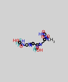 Cn1c(=O)n([C@@H]2CCC(=O)NC2=O)c2ccc(CCCN3Cc4cc(-c5ccc6cn(C7CCC(CNC(=O)c8cc(F)c(O)c(F)c8F)CC7)nc6c5)cnc4C3)cc21.O=C(O)C(F)(F)F